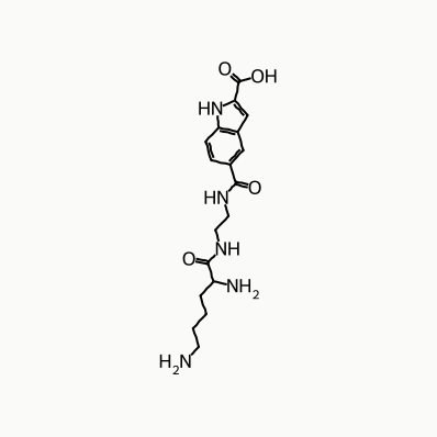 NCCCCC(N)C(=O)NCCNC(=O)c1ccc2[nH]c(C(=O)O)cc2c1